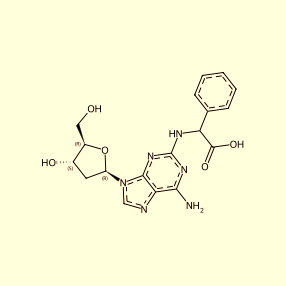 Nc1nc(NC(C(=O)O)c2ccccc2)nc2c1ncn2[C@H]1C[C@H](O)[C@@H](CO)O1